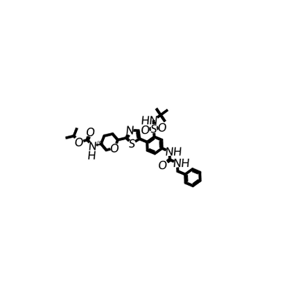 CC(C)OC(=O)N[C@H]1CCC(c2ncc(-c3ccc(NC(=O)NCc4ccccc4)cc3S(=O)(=O)NC(C)(C)C)s2)OC1